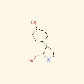 OC[C@H]1NCCC1C1CCC(O)CC1